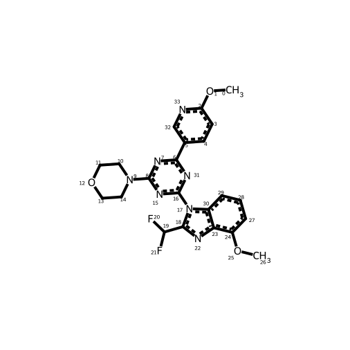 COc1ccc(-c2nc(N3CCOCC3)nc(-n3c(C(F)F)nc4c(OC)cccc43)n2)cn1